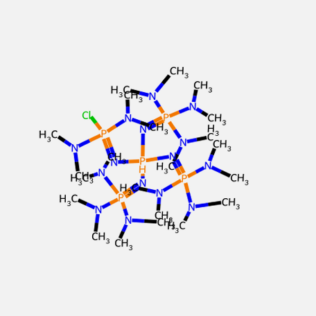 CN(C)P(Cl)(=N[PH](N=P(N(C)C)(N(C)C)N(C)C)(N=P(N(C)C)(N(C)C)N(C)C)N=P(N(C)C)(N(C)C)N(C)C)N(C)C